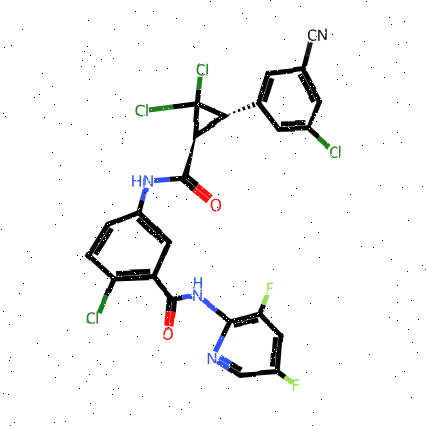 N#Cc1cc(Cl)cc([C@@H]2[C@@H](C(=O)Nc3ccc(Cl)c(C(=O)Nc4ncc(F)cc4F)c3)C2(Cl)Cl)c1